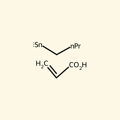 C=CC(=O)O.CCC[CH2][Sn]